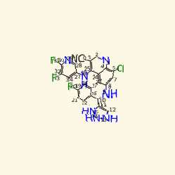 N#Cc1cnc2c(Cl)cc(N[C@H](C3=CNNN3)c3ccc(F)cc3)cc2c1Nc1cnc(F)c(F)c1